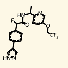 CC(NC(=O)C(F)c1ccc(-c2cn[nH]c2)cc1)c1ccc(OCC(F)(F)F)cn1